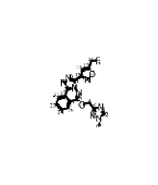 Cn1cnc(COc2nn3c(-c4cc(CF)on4)nnc3c3ccccc23)n1